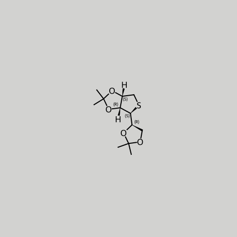 CC1(C)O[C@H]2[C@H]([C@H]3COC(C)(C)O3)SC[C@H]2O1